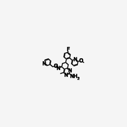 COc1cccc(-c2cc(F)ccc2C2CC(=NOCc3cccnc3)c3c(C)nc(N)nc3C2)n1